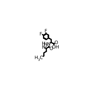 CCCCC(N)C(=O)NC(Cc1ccc(F)c(F)c1)C(=O)O